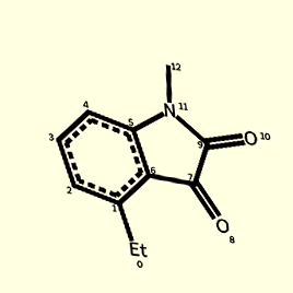 CCc1cccc2c1C(=O)C(=O)N2C